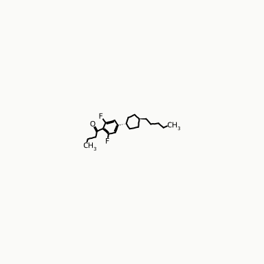 CCCCC[C@H]1CC[C@H](c2cc(F)c(C(=O)CCC)c(F)c2)CC1